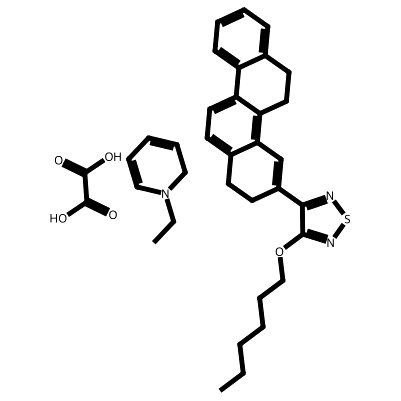 CCCCCCOc1nsnc1C1=Cc2c(ccc3c2CCc2ccccc2-3)CC1.CCN1C=CC=CC1.O=C(O)C(=O)O